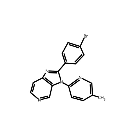 Cc1ccc(-n2c(-c3ccc(Br)cc3)nc3ccncc32)nc1